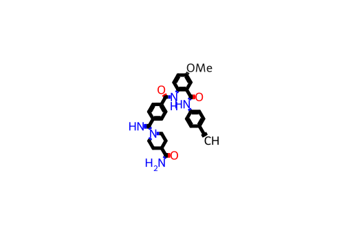 C#Cc1ccc(NC(=O)c2cc(OC)ccc2NC(=O)c2ccc(C(=N)N3CCC(C(N)=O)CC3)cc2)cc1